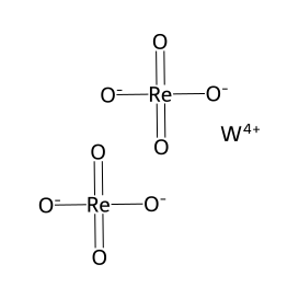 [O]=[Re](=[O])([O-])[O-].[O]=[Re](=[O])([O-])[O-].[W+4]